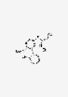 CCN1/C(=C/C(C)=O)Sc2ccc(OC)c(-c3ccccc3Cl)c21